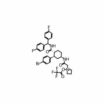 O=C(C[N+]1(OC(=O)C(F)(F)F)CCC1)N[C@@H]1CC[C@@H](C(=O)NC(c2ccc(F)cc2)c2ccc(F)cc2)[C@H](c2ccc(Br)cc2)C1